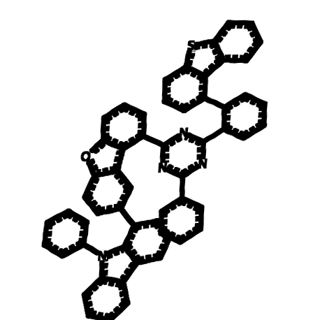 c1ccc(-c2nc(-c3ccccc3-c3cccc4sc5ccccc5c34)nc(-c3cccc4oc5ccc(-c6cccc7c8ccccc8n(-c8ccccc8)c67)cc5c34)n2)cc1